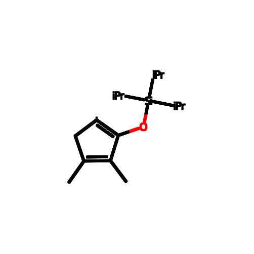 CC1=C(C)C(O[Si](C(C)C)(C(C)C)C(C)C)=[C]C1